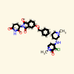 CN1C[C@H](Nc2ccn(C)c(=O)c2Cl)C[C@H](c2ccc(COc3ccc4c(c3)C(=O)N(C3CCC(=O)NC3=O)C4=O)cc2)C1